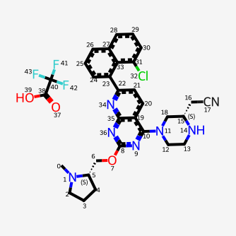 CN1CCC[C@H]1COc1nc(N2CCN[C@@H](CC#N)C2)c2ccc(-c3cccc4cccc(Cl)c34)nc2n1.O=C(O)C(F)(F)F